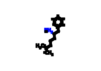 CC(C)CCCCCc1ccccc1.N